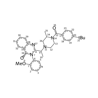 COc1ccccc1-n1c(C(C)N2CCN(C(=O)c3ccc(C(C)(C)C)cc3)C(C)C2)nc2ccccc2c1=O